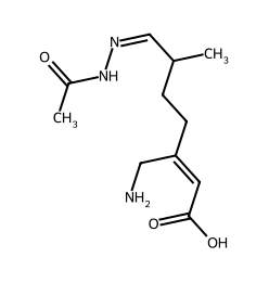 CC(=O)N/N=C\C(C)CC/C(=C/C(=O)O)CN